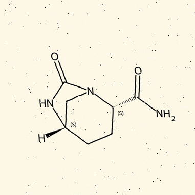 NC(=O)[C@@H]1CC[C@H]2CN1C(=O)N2